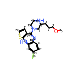 COCCCC1CN(C2=Nc3ccc(F)cc3Nc3sccc32)CCN1